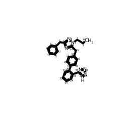 CCCn1nc(Cc2ccccc2)nc1Cc1ccc(-c2ccccc2-c2nnn[nH]2)cc1